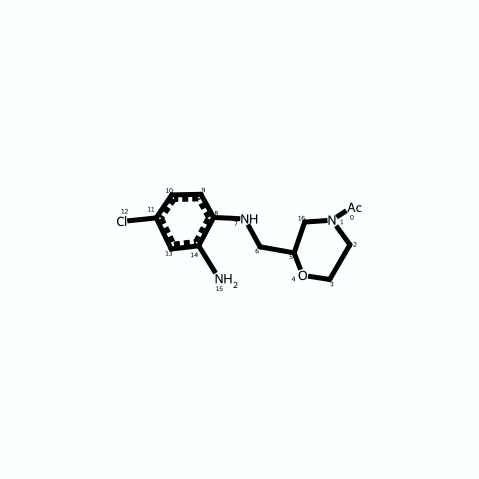 CC(=O)N1CCOC(CNc2ccc(Cl)cc2N)C1